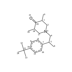 CC1CN(CC(C)c2ccc(C(C)(C)C)cc2)CC(C)C1=O